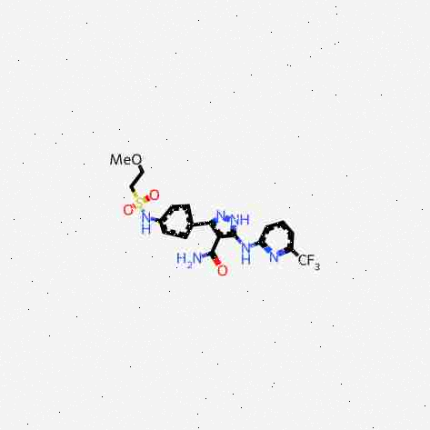 COCCS(=O)(=O)Nc1ccc(-c2n[nH]c(Nc3cccc(C(F)(F)F)n3)c2C(N)=O)cc1